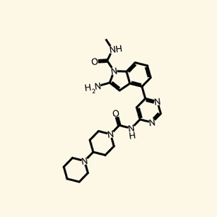 CNC(=O)n1c(N)cc2c(-c3cc(NC(=O)N4CCC(N5CCCCC5)CC4)ncn3)cccc21